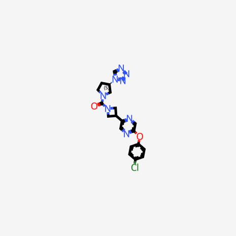 O=C(N1CC(c2cnc(Oc3ccc(Cl)cc3)cn2)C1)N1CC[C@H](n2cnnn2)C1